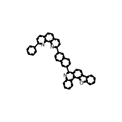 c1ccc(-c2ccc3ccc4ccc(-c5ccc6cc(-c7nc8ccccc8c8c7ccc7c9ccccc9oc78)ccc6c5)nc4c3n2)cc1